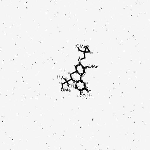 COCC1(COc2cc3c(cc2OC)-c2cc(=O)c(C(=O)O)cn2C(C(C)(C)COC)C3)CC1